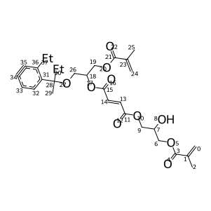 C=C(C)C(=O)OCC(O)COC(=O)/C=C/C(=O)OC(COC(=O)C(=C)C)COC(C)(CC)c1ccc#cc1CC